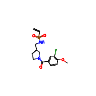 C=CS(=O)(=O)NCC1CCN(C(=O)c2ccc(OC)c(F)c2)C1